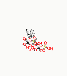 O.O=S(=O)(O)O[Si]([O-])([O-])[O-].O=S(=O)(O)O[Si]([O-])([O-])[O-].[Ca+2].[Ca+2].[Ca+2]